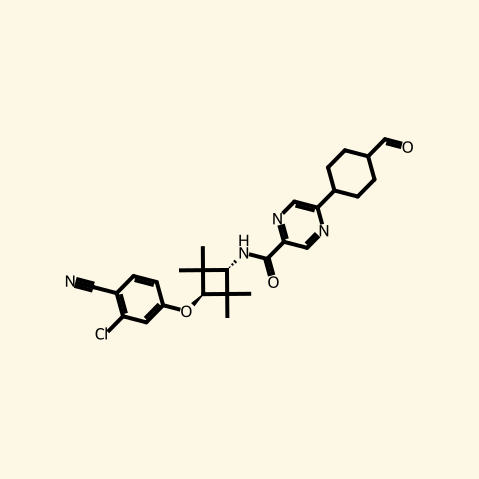 CC1(C)[C@H](NC(=O)c2cnc(C3CCC(C=O)CC3)cn2)C(C)(C)[C@H]1Oc1ccc(C#N)c(Cl)c1